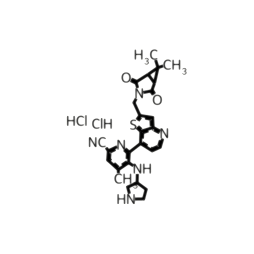 Cc1cc(C#N)nc(-c2ccnc3cc(CN4C(=O)C5C(C4=O)C5(C)C)sc23)c1NC1CCNC1.Cl.Cl